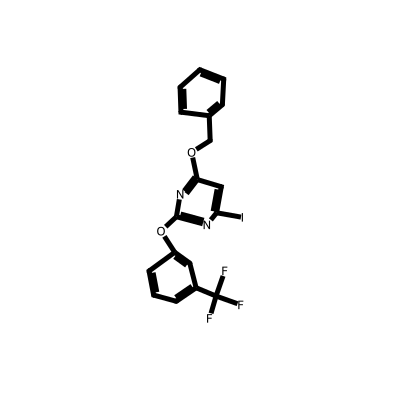 FC(F)(F)c1cccc(Oc2nc(I)cc(OCc3ccccc3)n2)c1